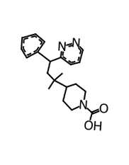 CC(C)(CC(c1ccccc1)c1cccnn1)C1CCN(C(=O)O)CC1